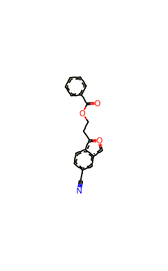 N#Cc1ccc2c(CCOC(=O)c3ccccc3)occ2c1